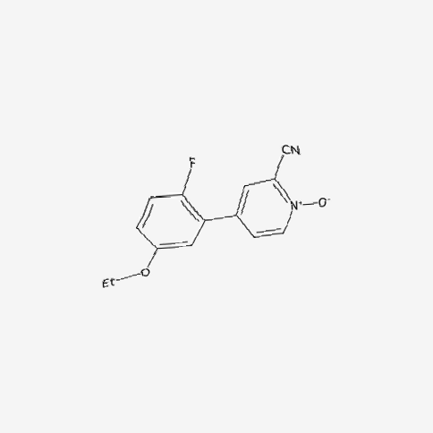 CCOc1ccc(F)c(-c2cc[n+]([O-])c(C#N)c2)c1